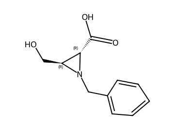 O=C(O)[C@H]1[C@H](CO)N1Cc1ccccc1